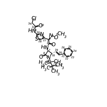 CO/N=C(\C(=O)N[C@H]1C(=O)N([Si](C)(C)C(C)(C)C)[C@H]1/C=C/c1ccccc1)c1csc(NC(=O)CCl)n1